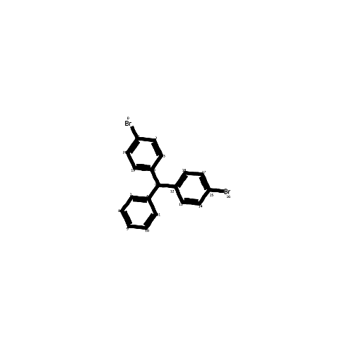 Brc1ccc(C(c2ccccc2)c2ccc(Br)cc2)cc1